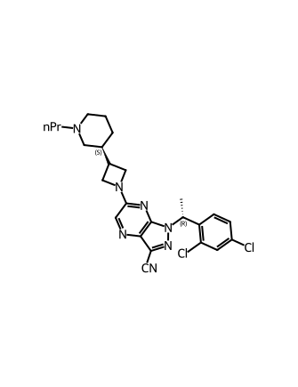 CCCN1CCC[C@@H](C2CN(c3cnc4c(C#N)nn([C@H](C)c5ccc(Cl)cc5Cl)c4n3)C2)C1